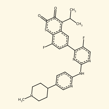 CC(C)n1c(=O)c(=O)sc2c(F)cc(-c3nc(Nc4ccc(C5CCN(C)CC5)cn4)ncc3F)cc21